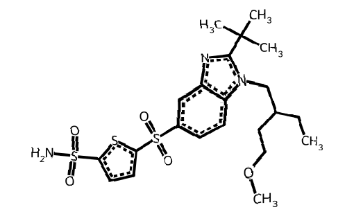 CCC(CCOC)Cn1c(C(C)(C)C)nc2cc(S(=O)(=O)c3ccc(S(N)(=O)=O)s3)ccc21